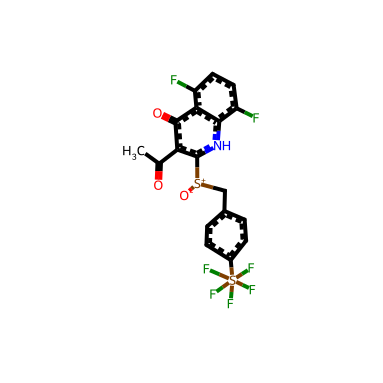 CC(=O)c1c([S+]([O-])Cc2ccc(S(F)(F)(F)(F)F)cc2)[nH]c2c(F)ccc(F)c2c1=O